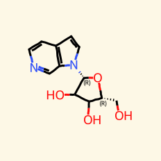 OC[C@H]1O[C@@H](n2ccc3ccncc32)C(O)C1O